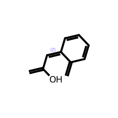 C=C(O)/C=c1/ccccc1=C